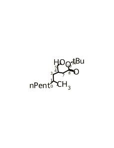 CCCCCC(C)CC(CO)CC(=O)OC(C)(C)C